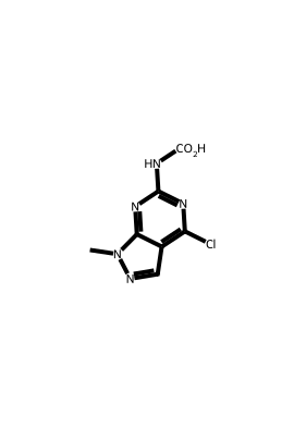 Cn1ncc2c(Cl)nc(NC(=O)O)nc21